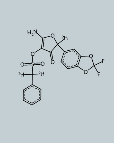 [2H]C1(c2ccc3c(c2)OC(F)(F)O3)OC(N)=C(OS(=O)(=O)C([2H])([2H])c2ccccc2)C1=O